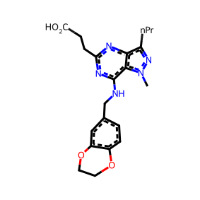 CCCc1nn(C)c2c(NCc3ccc4c(c3)OCCO4)nc(CCC(=O)O)nc12